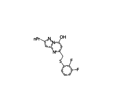 CCCc1cc2nc(CSc3cccc(F)c3F)cc(O)n2n1